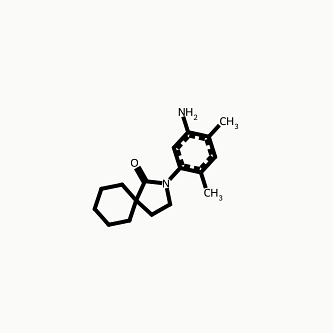 Cc1cc(C)c(N2CCC3(CCCCC3)C2=O)cc1N